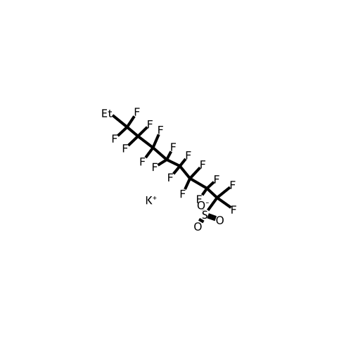 CCC(F)(F)C(F)(F)C(F)(F)C(F)(F)C(F)(F)C(F)(F)C(F)(F)C(F)(F)S(=O)(=O)[O-].[K+]